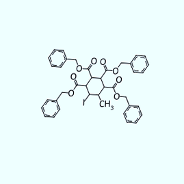 CC1C(I)C(C(=O)OCc2ccccc2)C(C(=O)OCc2ccccc2)C(C(=O)OCc2ccccc2)C1C(=O)OCc1ccccc1